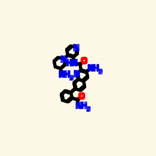 NC(=O)c1ccccc1-c1ccc2cc(N)c(C(=O)Nc3cnccc3N3CCCC(N)C3)nc2c1